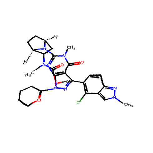 CN(C(=O)OC(C)(C)C)[C@@H]1C[C@@H]2CC[C@H]1N2c1nc2c(c(-c3ccc4nn(C)cc4c3Cl)nn2C2CCCCO2)c(=O)n1C